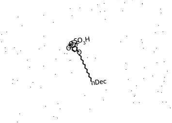 CCCCCCCCCCCCCCCCCCCCCCCOc1ccc(S(C)(=O)=O)c(C(F)(F)S(=O)(=O)O)c1